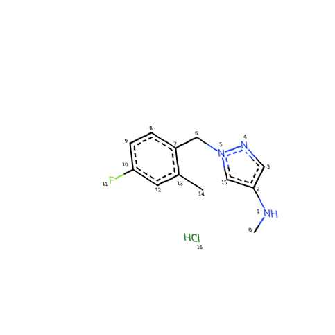 CNc1cnn(Cc2ccc(F)cc2C)c1.Cl